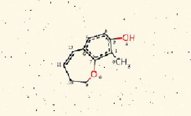 Cc1c(O)ccc2c1OCCC=C2